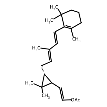 CC(=O)O/C=C/C1[C@@H](C/C=C(C)/C=C/C2=C(C)CCCC2(C)C)C1(C)C